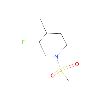 CC1CCN(S(C)(=O)=O)CC1F